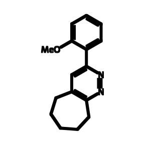 COc1ccccc1-c1cc2c(nn1)CCCCC2